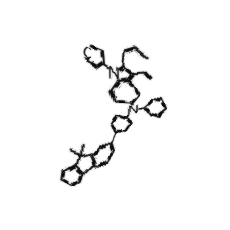 C=Cc1c(/C=C\C)n(-c2ccccc2)c2ccc(N(c3ccccc3)c3ccc(-c4ccc5c(c4)C(C)(C)c4ccccc4-5)cc3)cc12